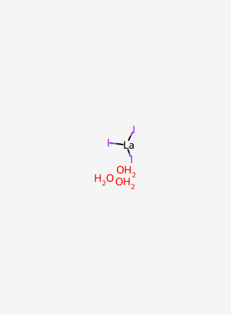 O.O.O.[I][La]([I])[I]